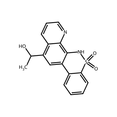 CC(O)c1cc2c(c3ncccc13)NS(=O)(=O)c1ccccc1-2